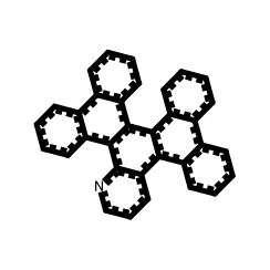 c1ccc2c(c1)c1ccccc1c1c2c2cccnc2c2c3ccccc3c3ccccc3c21